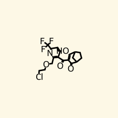 O=C(C1=C(O)C2CCC(C2)C1=O)c1ccc(C(F)(F)F)nc1COCCCl